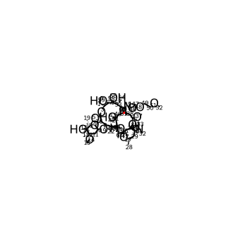 CC[C@H]1OC(=O)[C@H](C)[C@@H](O[C@H]2C[C@@](C)(OC)[C@@H](O)[C@H](C)O2)[C@H](C)[C@H]2O[C@@H]3O[C@H](C)C[C@H](N(C)C)[C@H]3OC(=O)C[C@H](C[C@@]2(C)O)/C(=N\OCOCCOC)[C@H](C)[C@@H](O)[C@]1(C)O